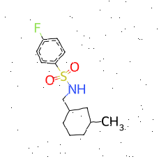 CC1CCCC(CNS(=O)(=O)c2ccc(F)cc2)C1